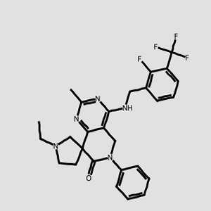 CCN1CCC2(C1)C(=O)N(c1ccccc1)Cc1c(NCc3cccc(C(F)(F)F)c3F)nc(C)nc12